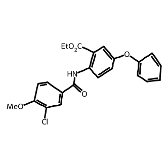 CCOC(=O)c1cc(Oc2ccccc2)ccc1NC(=O)c1ccc(OC)c(Cl)c1